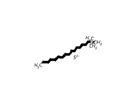 CCCCCCCCCCCCCCCC[N+](C)(C)C.[S-2]